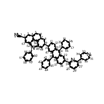 N#Cc1cc2ccc3cc(-c4ccc5c(-c6ccccc6)c6cc(-c7cccc(-c8ccncc8)n7)ccc6c(-c6ccccc6)c5c4)cc4c3c2c(c1)n4-c1ccccc1